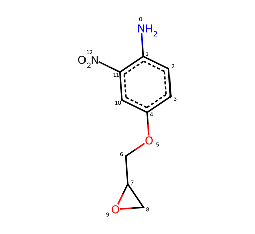 Nc1ccc(OCC2CO2)cc1[N+](=O)[O-]